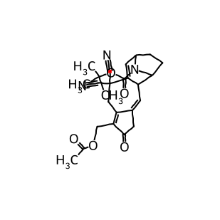 CC(=O)OCC1=C2CC(C#N)(C#N)C3=CC4CCC(C3C=C2CC1=O)N4C(=O)OC(C)(C)C